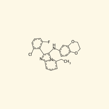 CCc1cccc2nc(-c3c(F)cccc3Cl)c(Nc3ccc4c(c3)OCCO4)n12